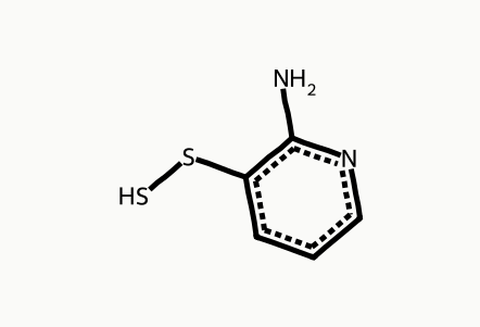 Nc1ncccc1SS